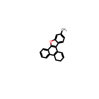 Cc1ccc2c(c1)oc1c3ccccc3c3c(c21)C=CCC3